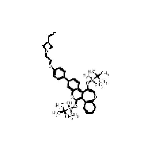 CC(C)(C)[Si](C)(C)OC1=COC2=C(C=CCC2)C2=C(O[Si](C)(C)C(C)(C)C)OC3=CC(c4ccc(OCCN5CC(CF)C5)cc4)C=CC3=C12